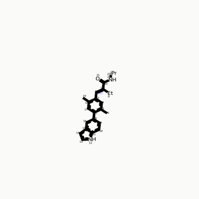 CC/C(=C\c1cc(C)c(-c2ccc3[nH]ccc3c2)cc1C)C(=O)NC(C)C